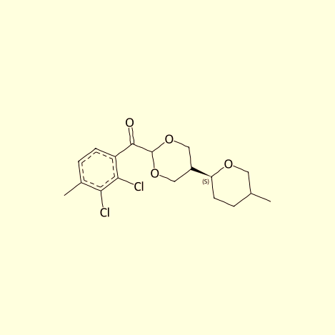 Cc1ccc(C(=O)C2OCC([C@@H]3CCC(C)CO3)CO2)c(Cl)c1Cl